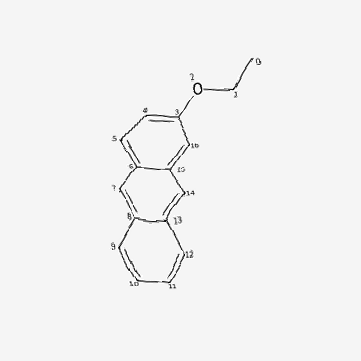 CCOc1ccc2[c]c3ccccc3[c]c2c1